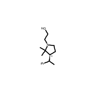 CC(C)C(C)[C@@H]1CCN(CCO)C1(C)C